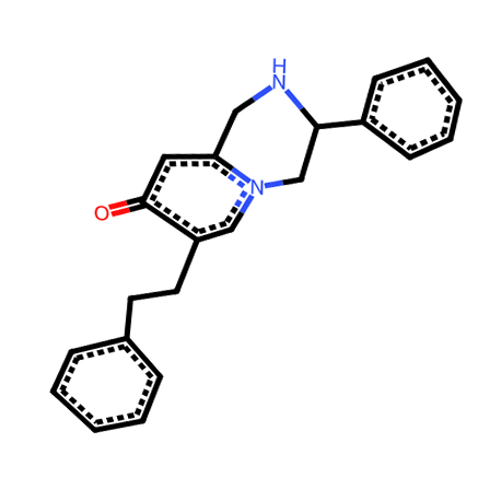 O=c1cc2n(cc1CCc1ccccc1)CC(c1ccccc1)NC2